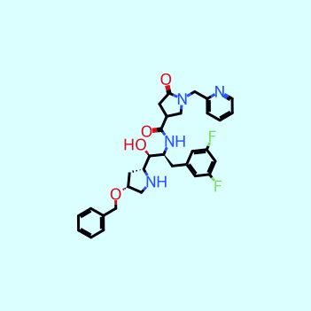 O=C(N[C@@H](Cc1cc(F)cc(F)c1)[C@H](O)[C@H]1C[C@@H](OCc2ccccc2)CN1)C1CC(=O)N(Cc2ccccn2)C1